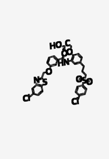 O=C(O)COc1ccc(CCCS(=O)(=O)c2ccc(Cl)cc2)cc1NC(=O)c1cccc(OCc2nc3cc(Cl)ccc3s2)c1